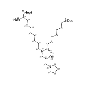 CCCCCCCCCCCCCCCCCC(=O)N(CCCCCCOCC(CCCCCCC)CCCCCCCCC)CC(O)CN1CCCC1